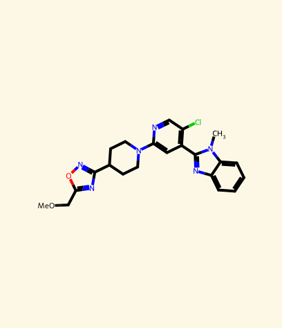 COCc1nc(C2CCN(c3cc(-c4nc5ccccc5n4C)c(Cl)cn3)CC2)no1